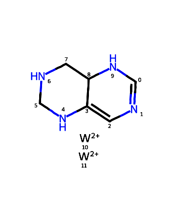 C1=NC=C2NCNCC2N1.[W+2].[W+2]